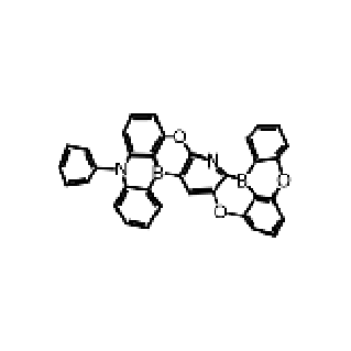 c1ccc(N2c3ccccc3B3c4cc5c(nc4Oc4cccc2c43)B2c3ccccc3Oc3cccc(c32)O5)cc1